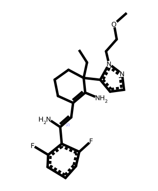 CCC1(c2ccnn2CCOC)CCCC(/C=C(\N)c2c(F)cccc2F)=C1N